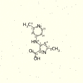 Cc1cc(Nc2sc(C)nc2C(=O)O)ccn1